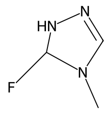 CN1C=NNC1F